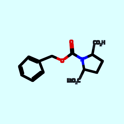 CCOC(=O)C1CCC(C(=O)O)N1C(=O)OCc1ccccc1